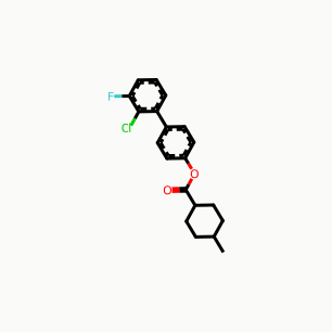 CC1CCC(C(=O)Oc2ccc(-c3cccc(F)c3Cl)cc2)CC1